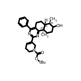 C[C@H]1C(O)CC[C@@]2(C)c3nc(C4=CCCN(C(=O)OC(C)(C)C)C4)nc(-c4ccccc4)c3CC[C@H]12